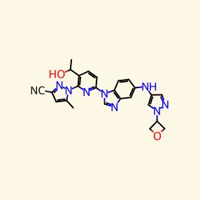 Cc1cc(C#N)nn1-c1nc(-n2cnc3cc(Nc4cnn(C5COC5)c4)ccc32)ccc1C(C)O